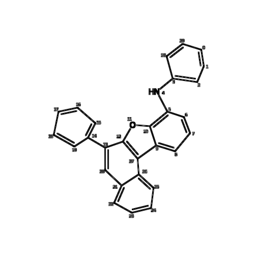 c1ccc(Nc2cccc3c2oc2c(-c4ccccc4)cc4ccccc4c23)cc1